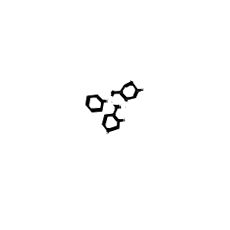 Cc1ccc(-c2nc3cc(F)c(F)cc3c(=O)n2-c2ccccc2)c(Cl)c1